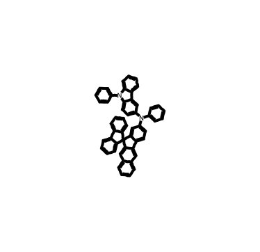 c1ccc(N(c2ccc3c(c2)C2(c4ccccc4-c4ccccc42)c2cc4ccccc4cc2-3)c2ccc3c(c2)c2ccccc2n3-c2ccccc2)cc1